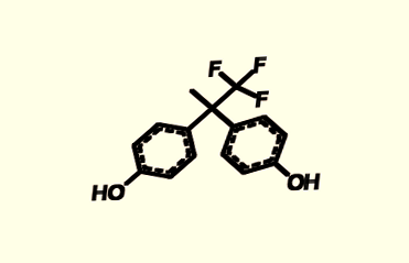 CC(c1ccc(O)cc1)(c1ccc(O)cc1)C(F)(F)F